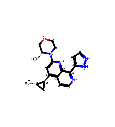 C[C@@H]1COCCN1c1cc([C@H]2C[C@@H]2C)c2ccnc(-c3ccn[nH]3)c2n1